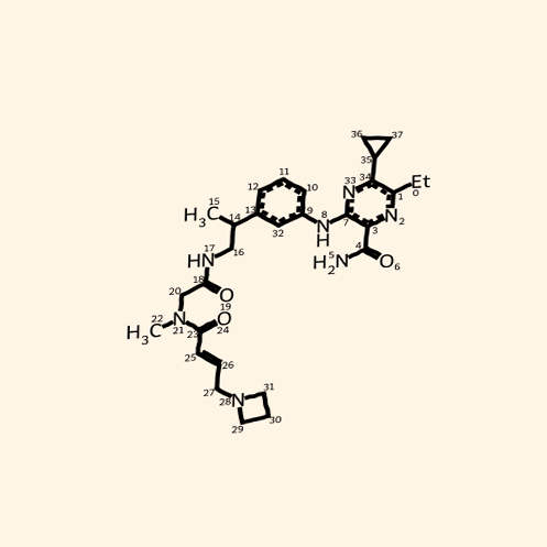 CCc1nc(C(N)=O)c(Nc2cccc(C(C)CNC(=O)CN(C)C(=O)C=CCN3CCC3)c2)nc1C1CC1